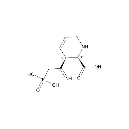 N=C(CP(=O)(O)O)[C@H]1C=CCN[C@H]1C(=O)O